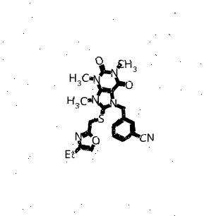 CCc1coc(CSC2N(C)c3c(c(=O)n(C)c(=O)n3C)N2Cc2cccc(C#N)c2)n1